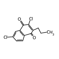 CCCC1=C(Cl)C(=O)c2cc(Cl)ccc2C1=O